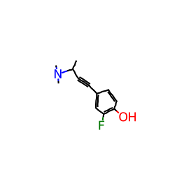 CC(C#Cc1ccc(O)c(F)c1)N(C)C